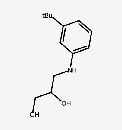 CC(C)(C)c1cccc(NCC(O)CO)c1